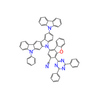 N#Cc1cc(-n2c3ccc(-n4c5ccccc5c5ccccc54)cc3c3cc4c5ccccc5n(-c5ccccc5)c4cc32)c2c(oc3ccccc32)c1-c1nc(-c2ccccc2)nc(-c2ccccc2)n1